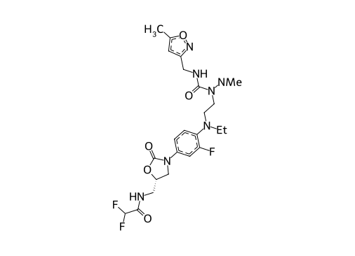 CCN(CCN(NC)C(=O)NCc1cc(C)on1)c1ccc(N2C[C@H](CNC(=O)C(F)F)OC2=O)cc1F